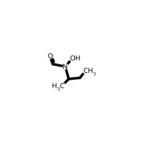 CCC(C)N(O)C=O